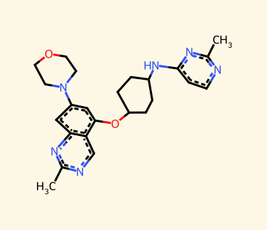 Cc1nccc(NC2CCC(Oc3cc(N4CCOCC4)cc4nc(C)ncc34)CC2)n1